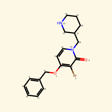 O=c1c(Br)c(OCc2ccccc2)ccn1CC1CCCNC1